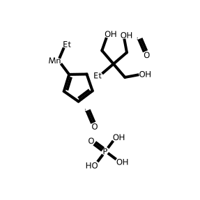 CCC(CO)(CO)CO.C[CH2][Mn][C]1=CC=CC1.O=P(O)(O)O.[C]=O.[C]=O